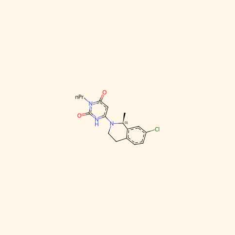 CCCn1c(=O)cc(N2CCc3ccc(Cl)cc3[C@@H]2C)[nH]c1=O